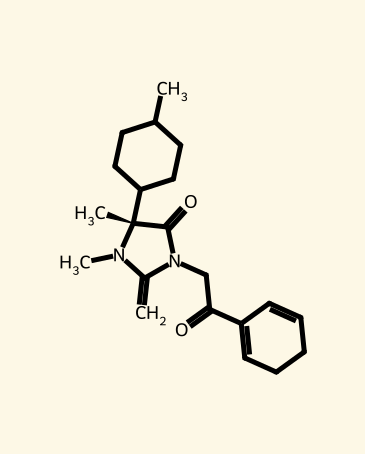 C=C1N(CC(=O)C2=CCCC=C2)C(=O)[C@@](C)(C2CCC(C)CC2)N1C